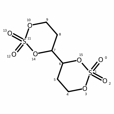 O=S1(=O)OCCC(C2CCOS(=O)(=O)O2)O1